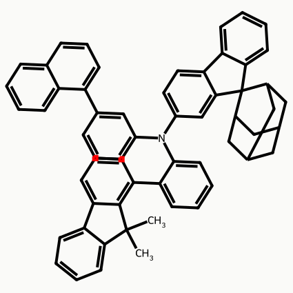 CC1(C)c2ccccc2-c2cccc(-c3ccccc3N(c3cccc(-c4cccc5ccccc45)c3)c3ccc4c(c3)C3(c5ccccc5-4)C4CC5CC(C4)CC3C5)c21